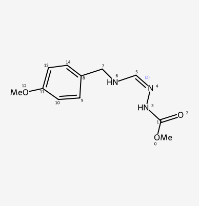 COC(=O)N/N=C\NCc1ccc(OC)cc1